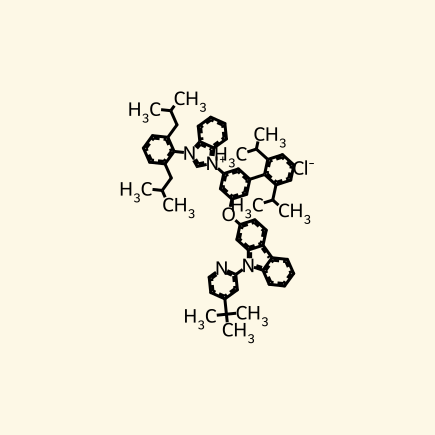 CC(C)Cc1cccc(CC(C)C)c1-n1c[n+](-c2cc(Oc3ccc4c5ccccc5n(-c5cc(C(C)(C)C)ccn5)c4c3)cc(-c3c(C(C)C)cccc3C(C)C)c2)c2ccccc21.[Cl-]